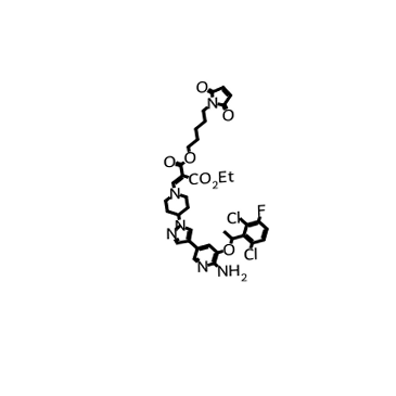 CCOC(=O)/C(=C\N1CCC(n2cc(-c3cnc(N)c(OC(C)c4c(Cl)ccc(F)c4Cl)c3)cn2)CC1)C(=O)OCCCCCN1C(=O)C=CC1=O